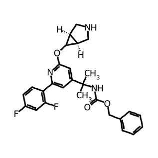 CC(C)(NC(=O)OCc1ccccc1)c1cc(OC2[C@H]3CNC[C@@H]23)nc(-c2ccc(F)cc2F)c1